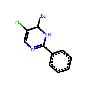 CC(C)(C)C1NC(c2ccccc2)=NC=C1Cl